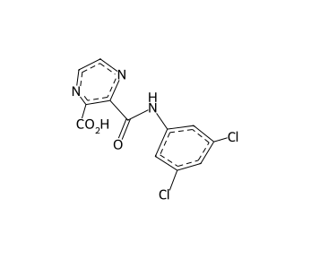 O=C(O)c1nccnc1C(=O)Nc1cc(Cl)cc(Cl)c1